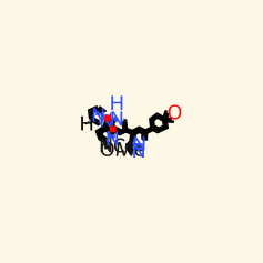 COc1ccc(CN2C3C[C@@H]2CN(C2C=CC(c4cc(C5=CCC6(CC5)COC6)cn5ncc(C#N)c45)CN2)C3)cn1